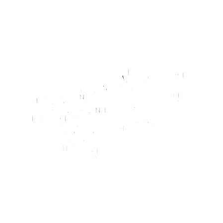 CCC(CC)O[C@@H]1C=C(C(=O)O)C[C@H](N/C(=N/C(=O)OC(C)(C)C)NC(=O)OC(C)(C)C)[C@H]1C